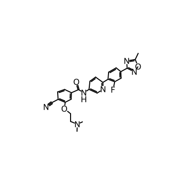 Cc1nc(-c2ccc(-c3ccc(NC(=O)c4ccc(C#N)c(OCCN(C)C)c4)cn3)c(F)c2)no1